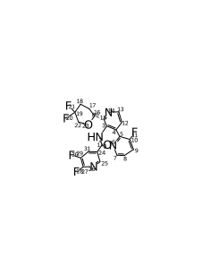 O=C(Nc1c(-c2ncccc2F)ccnc1[C@H]1CCC(F)(F)CO1)c1cnc(F)c(F)c1